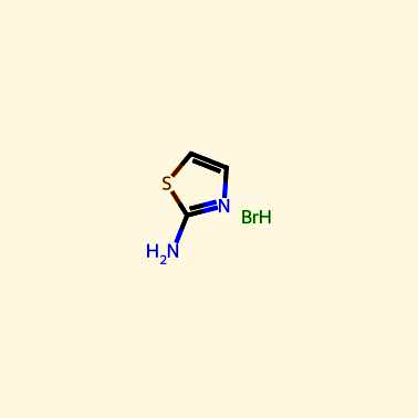 Br.Nc1nccs1